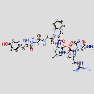 CC(C)C[C@H](NC(=O)[C@H](Cc1ccccc1)NC(=O)CNC(=O)CNC(=O)[C@@H](N)Cc1ccc(O)cc1)C(=O)N[C@@H](CCCNC(=N)N)C(=O)N[C@@H](CC(N)=O)C(N)=O